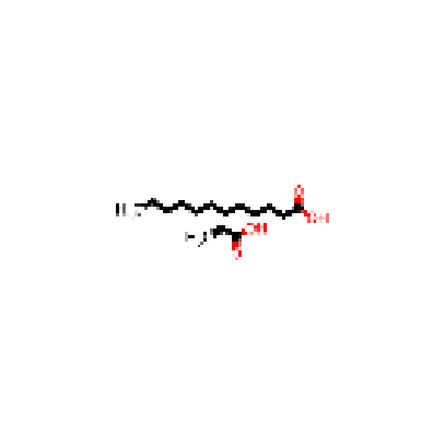 C=CC(=O)O.CCCCCCCCCCCC(=O)O